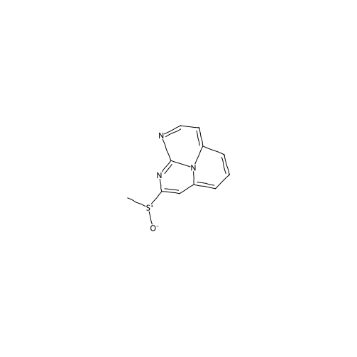 C[S+]([O-])C1=CC2=CC=CC3=CC=NC(=N1)N32